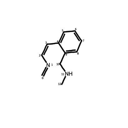 C=N/C=C\c1ccccc1CNC